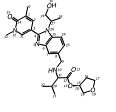 Cc1cc(-c2nc3cc(CNC(C(=O)O[C@H]4CCOC4)C(C)C)ccc3n2C(C)CO)cn(C)c1=O